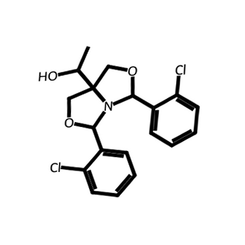 CC(O)C12COC(c3ccccc3Cl)N1C(c1ccccc1Cl)OC2